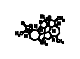 C=C1CC[C@H]2C(=C)C(=O)O[C@@H]2C2[C@H]1CC(=O)[C@]21CC[C@@]23OC(CC)(CC)O[C@]21C[C@H]1C(=C)CC[C@H]2C(=C)C(=O)O[C@@H]2[C@H]13